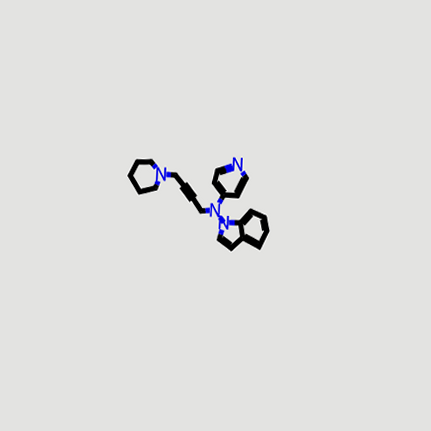 C(#CCN(c1ccncc1)n1ccc2ccccc21)CN1CCCCC1